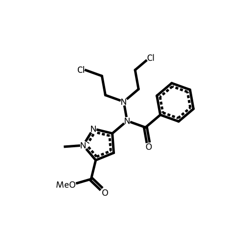 COC(=O)c1cc(N(C(=O)c2ccccc2)N(CCCl)CCCl)nn1C